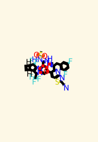 Cn1nc(NS(C)(=O)=O)c2cccc(-c3cc4sc(C#N)nc4nc3C(Cc3cc(F)cc(F)c3)NC(=O)Cn3nc(C(F)(F)F)c4c3C(F)(F)[C@@H]3C=C[C@H]43)c21